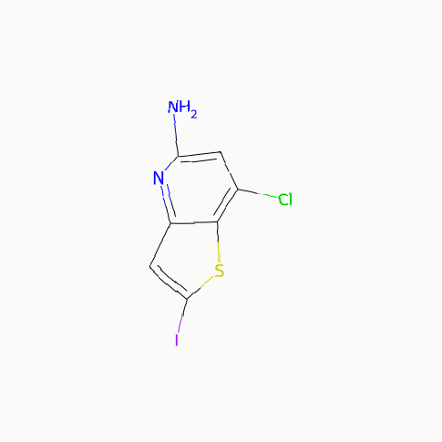 Nc1cc(Cl)c2sc(I)cc2n1